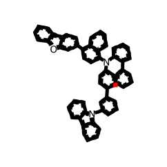 c1ccc(-c2ccccc2N(c2ccc(-c3cccc(-n4c5ccccc5c5ccccc54)c3)cc2)c2ccc(-c3ccc4c(c3)oc3ccccc34)c3ccccc23)cc1